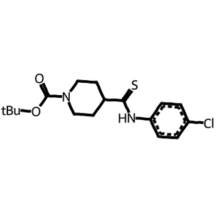 CC(C)(C)OC(=O)N1CCC(C(=S)Nc2ccc(Cl)cc2)CC1